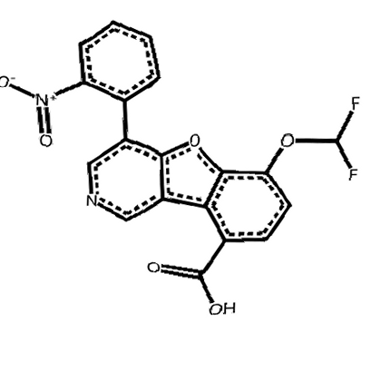 O=C(O)c1ccc(OC(F)F)c2oc3c(-c4ccccc4[N+](=O)[O-])cncc3c12